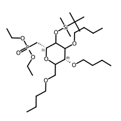 CCCCOCC1O[C@H](CP(=O)(OCC)OCC)C(O[Si](C)(C)C(C)(C)C)C(OCCCC)[C@@H]1OCCCC